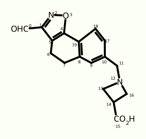 O=Cc1noc2c1CCc1cc(CN3CC(C(=O)O)C3)ccc1-2